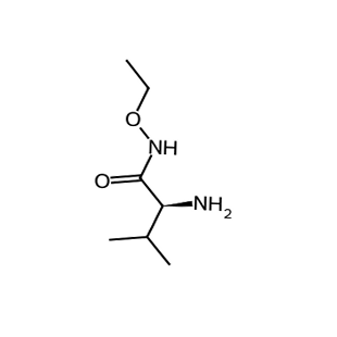 CCONC(=O)[C@@H](N)C(C)C